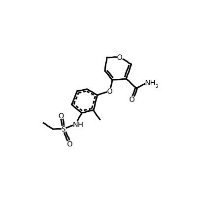 CCS(=O)(=O)Nc1cccc(OC2=CCOC=C2C(N)=O)c1C